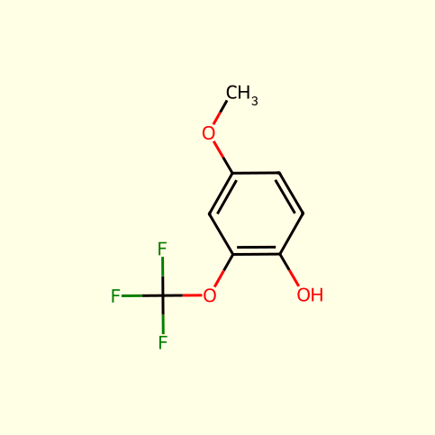 COc1ccc(O)c(OC(F)(F)F)c1